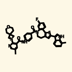 Cc1cnc(N2CC3(CCOCC3)C2)c(C(=O)Nc2ccc(C(=O)N3CCc4cc(-c5c[nH]c6c(C)cccc56)sc4-c4ccc(F)cc43)cc2)c1